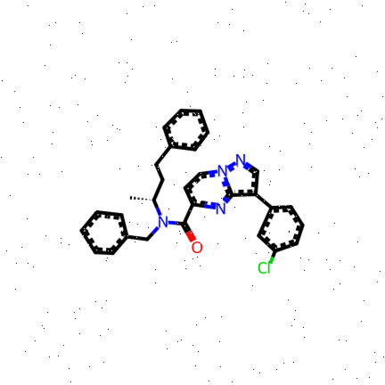 C[C@H](CCc1ccccc1)N(Cc1ccccc1)C(=O)c1ccn2ncc(-c3cccc(Cl)c3)c2n1